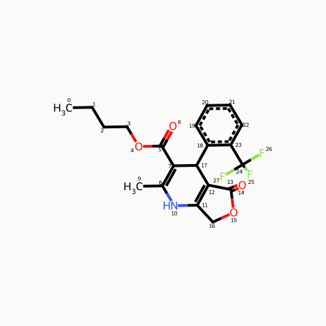 CCCCOC(=O)C1=C(C)NC2=C(C(=O)OC2)C1c1ccccc1C(F)(F)F